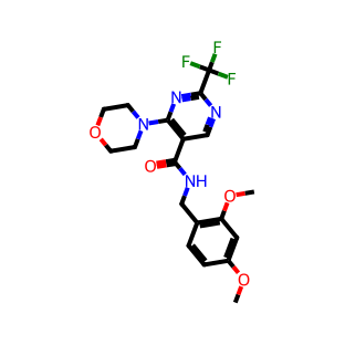 COc1ccc(CNC(=O)c2cnc(C(F)(F)F)nc2N2CCOCC2)c(OC)c1